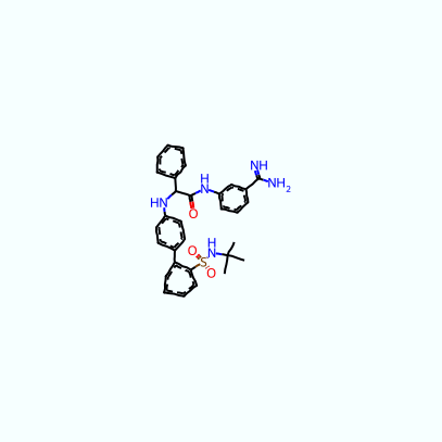 CC(C)(C)NS(=O)(=O)c1ccccc1-c1ccc(NC(C(=O)Nc2cccc(C(=N)N)c2)c2ccccc2)cc1